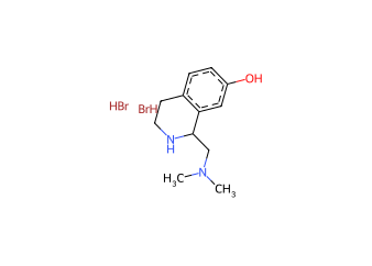 Br.Br.CN(C)CC1NCCc2ccc(O)cc21